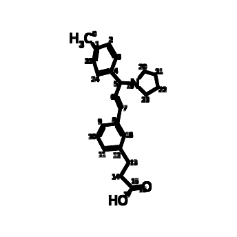 Cc1ccc(C(C=Cc2cccc(CCC(=O)O)c2)N2CCCC2)cc1